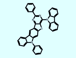 c1ccc(-c2nc(-n3c4ccccc4c4ccccc43)c3sc4cc5c(cc4c3n2)c2ccccc2n5-c2ccccc2)cc1